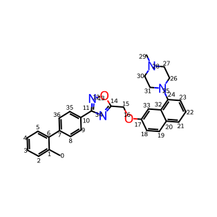 Cc1ccccc1-c1ccc(-c2noc(COc3ccc4cccc(N5CCN(C)CC5)c4c3)n2)cc1